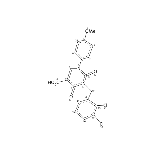 COc1ccc(-n2cc(C(=O)O)c(=O)n(Cc3cccc(Cl)c3Cl)c2=O)cc1